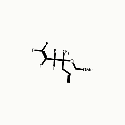 C=CCC(OCOC)(C(F)(F)F)C(F)(F)C(F)=C(F)F